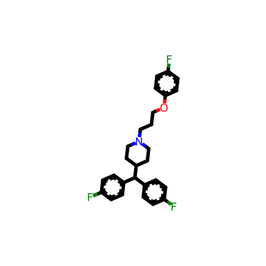 Fc1ccc(OCCCN2CCC(C(c3ccc(F)cc3)c3ccc(F)cc3)CC2)cc1